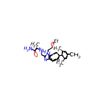 CCOCCn1c(CN[C@@H](C)C(N)=O)nc2ccc(-c3c(C)cc(C)cc3C)cc21